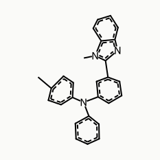 Cc1ccc(N(c2ccccc2)c2cccc(-c3nc4ccccc4n3C)c2)cc1